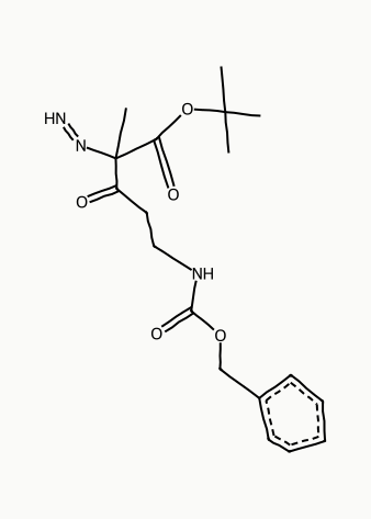 CC(C)(C)OC(=O)C(C)(N=N)C(=O)CCNC(=O)OCc1ccccc1